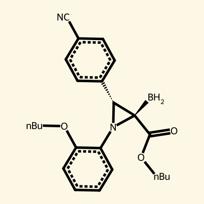 B[C@]1(C(=O)OCCCC)[C@@H](c2ccc(C#N)cc2)N1c1ccccc1OCCCC